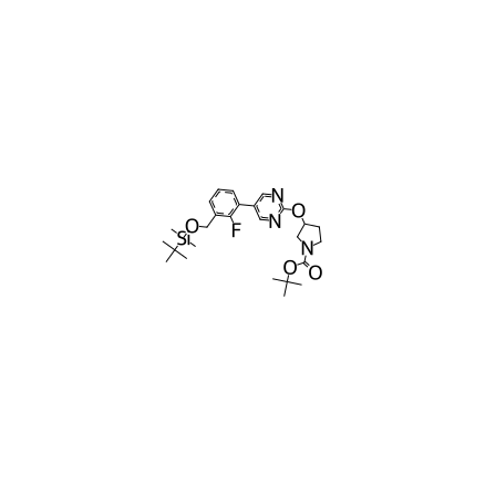 CC(C)(C)OC(=O)N1CCC(Oc2ncc(-c3cccc(CO[Si](C)(C)C(C)(C)C)c3F)cn2)C1